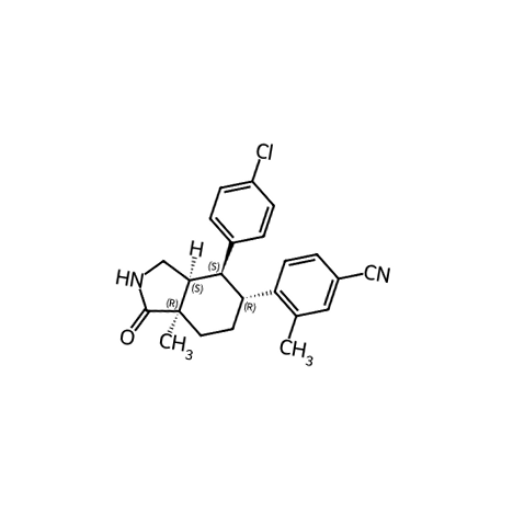 Cc1cc(C#N)ccc1[C@@H]1CC[C@@]2(C)C(=O)NC[C@H]2[C@H]1c1ccc(Cl)cc1